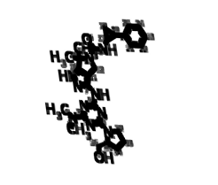 CN(C)c1nc(Nc2n[nH]c3c2CN(C(=O)NC2CC2c2ccccc2)C3(C)C)nc(N2CCC[C@H]2CO)n1